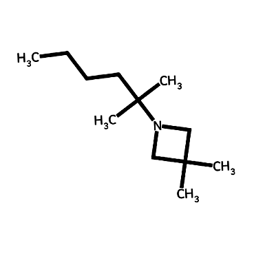 CCCCC(C)(C)N1CC(C)(C)C1